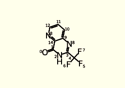 O=c1[nH]c(C(F)(F)F)nc2cccnc12